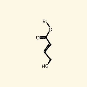 CCOC(=O)C=CCO